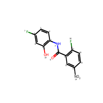 O=C(Nc1ccc(F)cc1O)c1cc([N+](=O)[O-])ccc1F